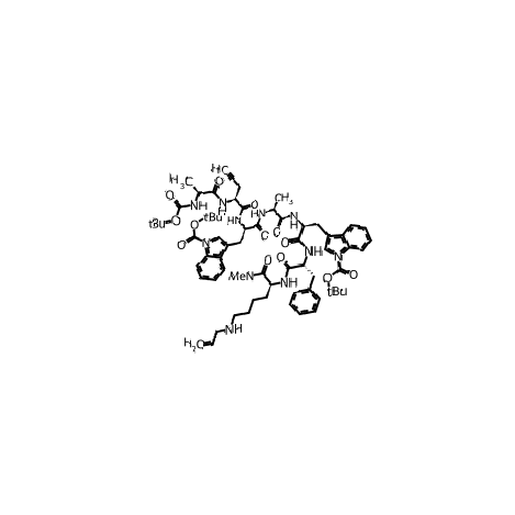 C#CC[C@H](NC(=O)[C@H](C)NC(=O)OC(C)(C)C)C(=O)N[C@H](Cc1cn(C(=O)OC(C)(C)C)c2ccccc12)C(=O)N[C@@H](C)C(=O)N[C@@H](Cc1cn(C(=O)OC(C)(C)C)c2ccccc12)C(=O)N[C@H](Cc1ccccc1)C(=O)N[C@@H](CCCCNCC=C)C(=O)NC